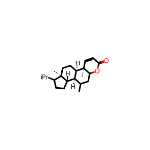 CC(C)C1CC[C@H]2[C@@H]3C(C)CC4OC(=O)C=C[C@]4(C)[C@@H]3CC[C@]12C